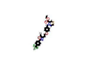 CCOC(=O)C1CSCCN1Cc1ccc(OCCc2nc(-c3ccc(C(F)(F)F)cc3)oc2C)cc1